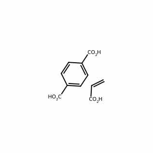 C=CC(=O)O.O=C(O)c1ccc(C(=O)O)cc1